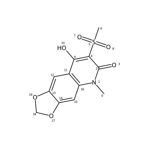 Cn1c(=O)c(S(C)(=O)=O)c(O)c2cc3c(cc21)OCO3